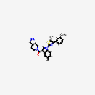 COc1cccc(-c2nc(-n3cc(C(=O)N4CCC(CN)CC4)c4cc(C)ccc43)sc2C(C)C)c1